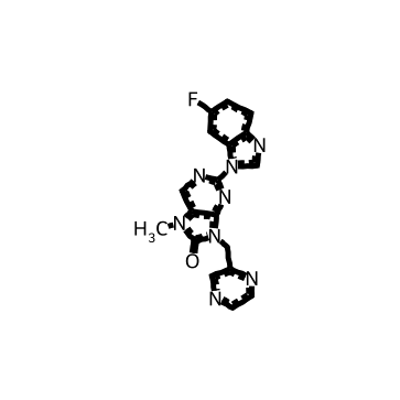 Cn1c(=O)n(Cc2cnccn2)c2nc(-n3cnc4ccc(F)cc43)ncc21